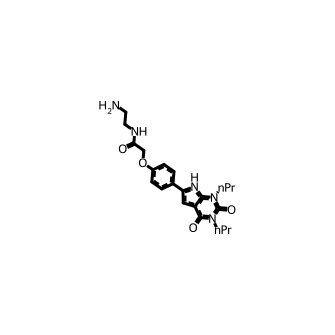 CCCn1c(=O)c2cc(-c3ccc(OCC(=O)NCCN)cc3)[nH]c2n(CCC)c1=O